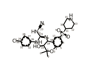 CC1(C)Oc2ccc(S(=O)(=O)C3CCNCC3)cc2C(/N=C(/NC#N)Nc2ccc(Cl)cc2)C1O